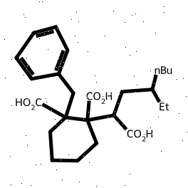 CCCCC(CC)CC(C(=O)O)C1(C(=O)O)CCCCC1(Cc1ccccc1)C(=O)O